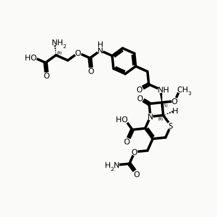 CO[C@@]1(NC(=O)Cc2ccc(NC(=O)OC[C@@H](N)C(=O)O)cc2)C(=O)N2C(C(=O)O)=C(COC(N)=O)CS[C@@H]21